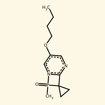 CCCCOc1cnc2[n+](c1)P(C)(=O)C21CC1